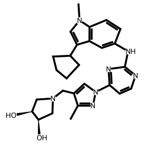 Cc1nn(-c2ccnc(Nc3ccc4c(c3)c(C3CCCC3)cn4C)n2)cc1CN1C[C@@H](O)[C@@H](O)C1